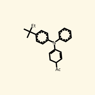 CCC(C)(C)c1ccc(N(C2=CCC(C(C)=O)C=C2)c2ccccc2)cc1